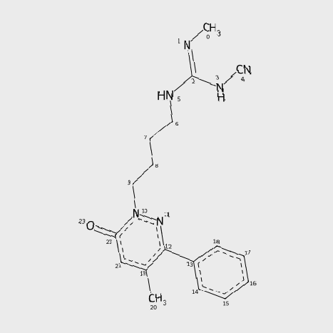 CN=C(NC#N)NCCCCn1nc(-c2ccccc2)c(C)cc1=O